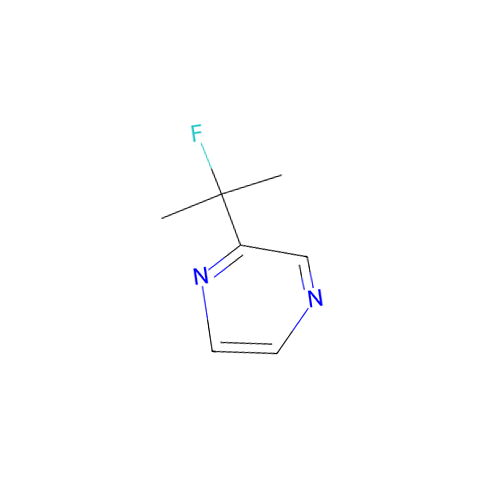 CC(C)(F)c1cnccn1